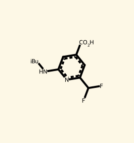 CCC(C)Nc1cc(C(=O)O)cc(C(F)F)n1